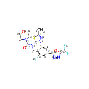 Cc1nnc(N(Cc2ccc(-c3nnc(C(F)F)o3)cc2F)C(=O)N2CCOCC2)s1